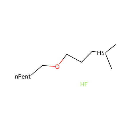 CCCCCCOCCC[SiH](C)C.F